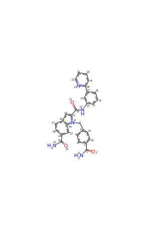 NC(=O)c1ccc(Cn2c(C(=O)Nc3cccc(-c4ccccn4)c3)cc3ccc(C(N)=O)cc32)cc1